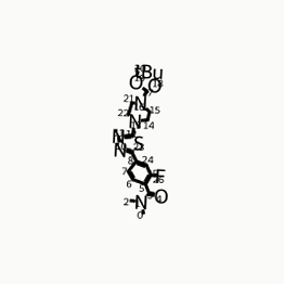 CN(C)C(=O)c1ccc(-c2nnc(N3CCN(C(=O)OC(C)(C)C)CC3)s2)cc1F